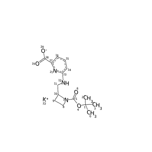 CC(C)(C)OC(=O)N1CCC1CNc1cccc(C(=O)[O-])n1.[K+]